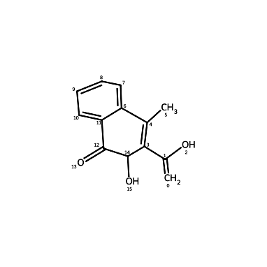 C=C(O)C1=C(C)c2ccccc2C(=O)C1O